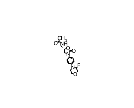 CC(=O)NC[C@H]1CN(c2ccc(N3CCOCC3F)cc2)C(=O)O1